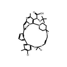 Cc1cc2c(cc1Cl)O[C@@H](C)CC=CCOC1(C)CCN(CC1)c1c([C@H](OC(C)(C)C)C(=O)O)c(C)nc3cc(nn13)-c1cccc-2c1